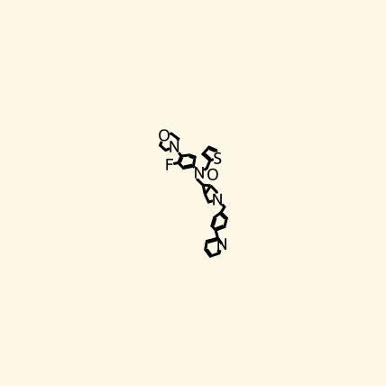 O=C(c1cccs1)N(CC1C2CN(Cc3ccc(-c4ccccn4)cc3)CC21)c1ccc(N2CCOCC2)c(F)c1